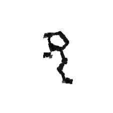 CCCCCOc1cc[nH]n1.P